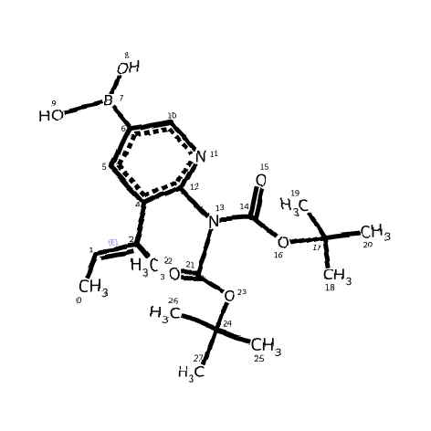 C/C=C(\C)c1cc(B(O)O)cnc1N(C(=O)OC(C)(C)C)C(=O)OC(C)(C)C